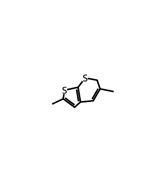 CC1=Cc2cc(C)sc2SC1